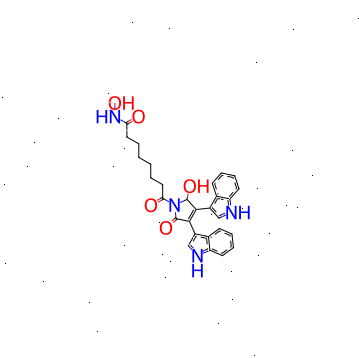 O=C(CCCCCCC(=O)N1C(=O)C(c2c[nH]c3ccccc23)=C(c2c[nH]c3ccccc23)C1O)NO